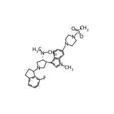 CN(C)[C@H]1CN(C2CCc3cccc(F)c32)C[C@@H]1c1cn(C)c2cc(N3CCN(S(C)(=O)=O)CC3)ccc12